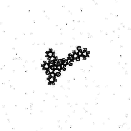 O=C1C(=CC2=Cc3sc4c(sc5c6sc(C=C7C(=O)c8ccccc8C7=O)cc6sc45)c3C2(C(=O)OCc2ccccc2)C(=O)OCc2ccccc2)C(=O)c2ccccc21